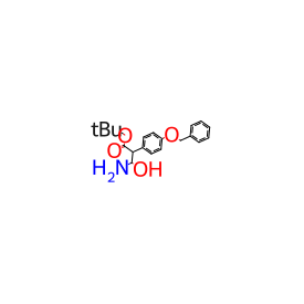 CC(C)(C)OC(=O)C(c1ccc(OCc2ccccc2)cc1)C(N)O